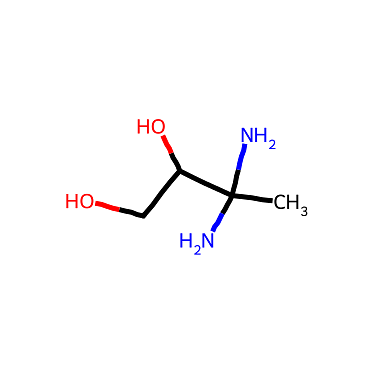 CC(N)(N)C(O)CO